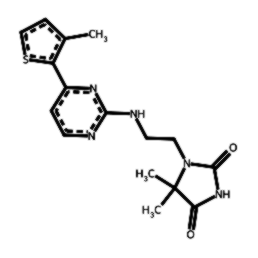 Cc1ccsc1-c1ccnc(NCCN2C(=O)NC(=O)C2(C)C)n1